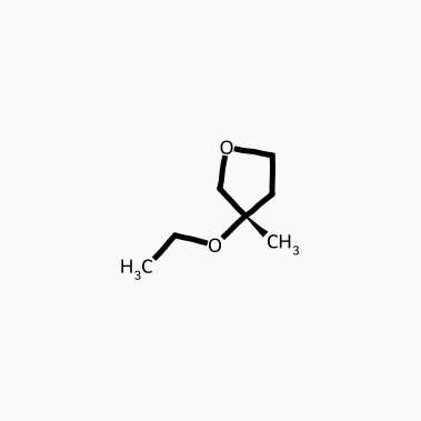 CCO[C@@]1(C)CCOC1